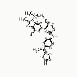 Cc1nc2c(F)cc(-c3nc(Nc4ccc([C@@H](C)C5CCNC5)cn4)ncc3F)cc2n1C(C)C